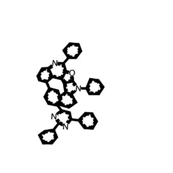 c1ccc(-c2cc(-c3ccc(-c4cccc5nc(-c6ccccc6)c6oc7c(c8ccccc8n7-c7ccccc7)c6c45)cc3)nc(-c3ccccc3)n2)cc1